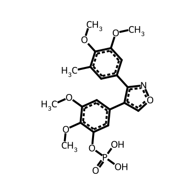 COc1cc(-c2nocc2-c2cc(OC)c(OC)c(OP(=O)(O)O)c2)cc(C)c1OC